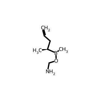 C=CC[C@H](C)B(C)OCN